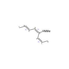 C\C=C/C(=C\C=C\C)NC